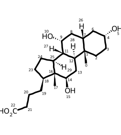 C[C@]12CC[C@@H](O)C[C@H]1C[C@@H](O)[C@@H]1[C@@H]2C[C@@H](O)[C@]2(C)[C@@H](CCCC(=O)O)CC[C@@H]12